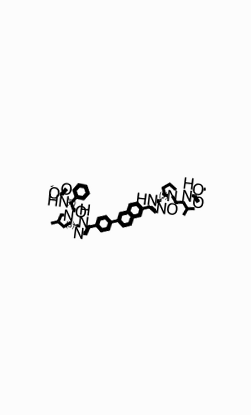 COC(=O)NC(C(=O)N1CCC[C@H]1c1ncc(-c2ccc3cc(-c4ccc(-c5cnc([C@@H]6CC(C)CN6C(=O)[C@H](NC(=O)OC)c6ccccc6)[nH]5)cc4)ccc3c2)[nH]1)C(C)C